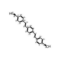 C#Cc1ccc(C=Cc2ccc(C=Cc3ccc(C#C)cc3)cc2)cc1